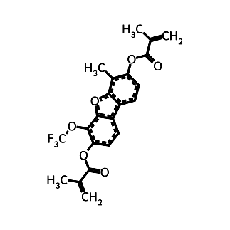 C=C(C)C(=O)Oc1ccc2c(oc3c(OC(F)(F)F)c(OC(=O)C(=C)C)ccc32)c1C